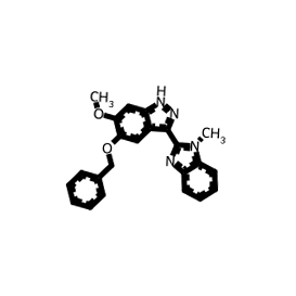 COc1cc2[nH]nc(-c3nc4ccccc4n3C)c2cc1OCc1ccccc1